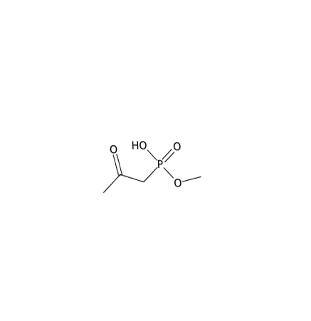 COP(=O)(O)CC(C)=O